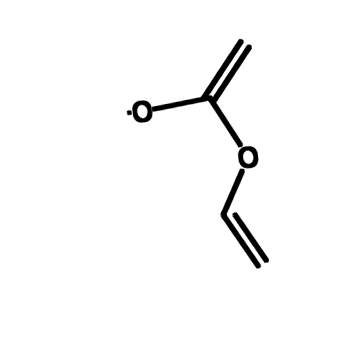 C=COC(=C)[O]